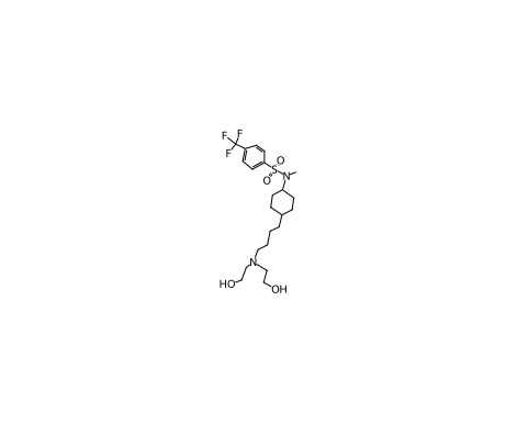 CN(C1CCC(CCCCN(CCO)CCO)CC1)S(=O)(=O)c1ccc(C(F)(F)F)cc1